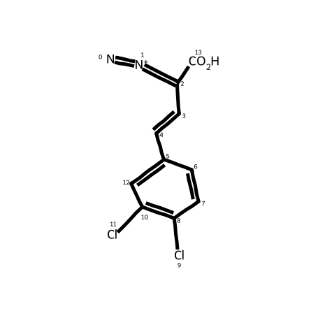 [N-]=[N+]=C(C=Cc1ccc(Cl)c(Cl)c1)C(=O)O